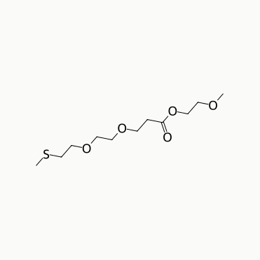 COCCOC(=O)CCOCCOCCSC